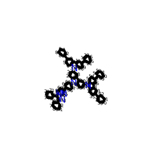 c1ccc(-c2ccc3c(c2)c2cc(-c4ccccc4)ccc2n3-c2ccc3c(c2)c2cc(-n4c5ccc(-c6ccccc6)cc5c5cc(-c6ccccc6)ccc54)ccc2n3-c2ccc(-c3ccn4c(-c5ccccc5)c(-c5ccccc5)nc4n3)cc2)cc1